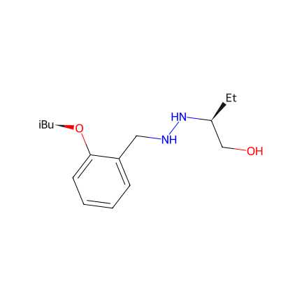 CC[C@@H](CO)NNCc1ccccc1O[C@H](C)CC